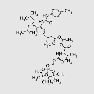 CC[C@@H](CC(=O)OC(C)OC(=O)[C@@H](NC(=O)OCOP(=O)(OC(C)(C)C)OC(C)(C)C)C(C)C)c1ccc(N(CC(C)C)CC(C)C)c(NC(=O)Nc2ccc(C)cc2)c1